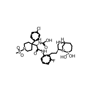 CS(=O)(=O)N1CCC(c2ccc(Cl)cc2)([C@H](NC(=O)O)C(=O)Nc2cccc(F)c2CC[C@H]2CN[C@@H]3CCCS(O)(O)N2C3)CC1